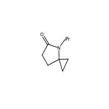 CC(C)N1C(=O)CCC12CC2